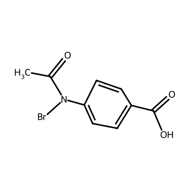 CC(=O)N(Br)c1ccc(C(=O)O)cc1